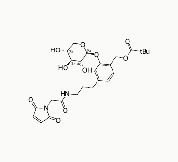 CC(C)(C)C(=O)OCc1ccc(CCCNC(=O)CN2C(=O)C=CC2=O)cc1O[C@@H]1OC[C@@H](O)[C@H](O)[C@H]1O